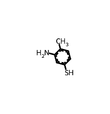 Cc1ccc(S)cc1N